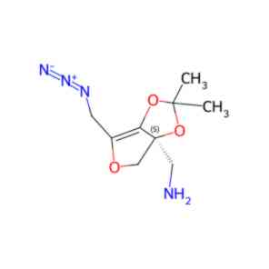 CC1(C)OC2=C(CN=[N+]=[N-])OC[C@]2(CN)O1